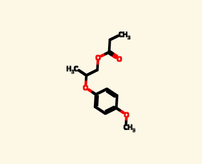 CCC(=O)OCC(C)Oc1ccc(OC)cc1